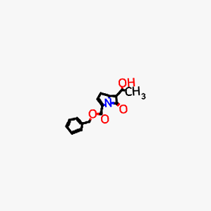 CC(O)C1C(=O)N2C(C(=O)OCc3ccccc3)=CCC12